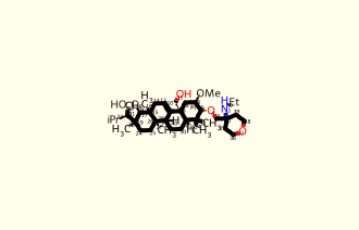 CCNC1(CO[C@H]2[C@H](OC)C[C@]3(CO)C4=CC[C@@]5(C)[C@H](C(=O)O)[C@@](C)([C@H](C)C(C)C)CC[C@]5(C)[C@H]4CC[C@H]3C2(C)C)CCOCC1